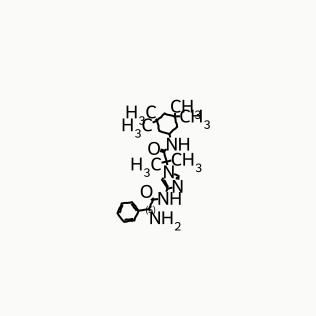 CC1(C)CC(NC(=O)C(C)(C)n2cnc(NC(=O)[C@@H](N)c3ccccc3)c2)CC(C)(C)C1